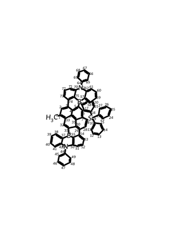 Cc1cc2c3c(cc4c([Si](c5ccccc5)(c5ccccc5)c5ccccc5)cc5c6c(cc1c3c46)B1c3ccccc3N(c3ccccc3)c3cccc-5c31)B1c3ccccc3N(c3ccccc3)c3cccc-2c31